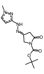 Cn1ccc(N/N=C2\CC(=O)N(C(=O)OC(C)(C)C)C2)n1